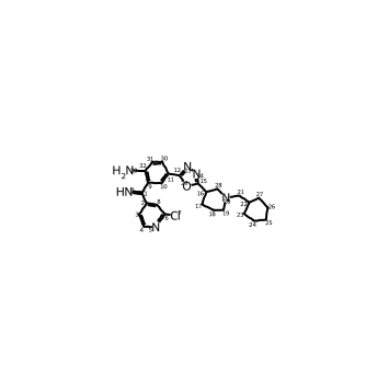 N=C(c1ccnc(Cl)c1)c1cc(-c2nnc(C3CCCN(CC4CCCCC4)C3)o2)ccc1N